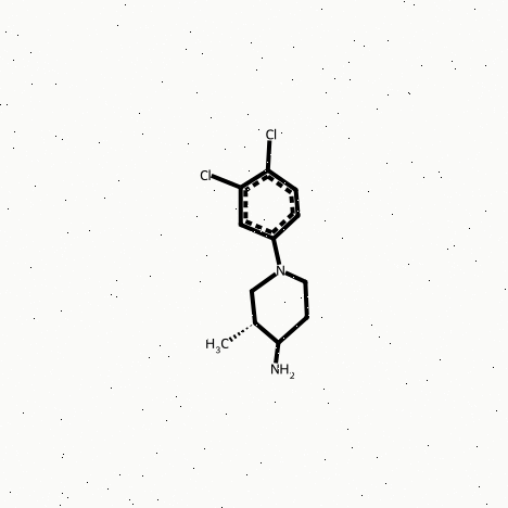 C[C@@H]1CN(c2ccc(Cl)c(Cl)c2)CCC1N